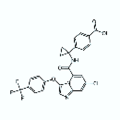 O=C(O)c1ccc(C2(NC(=O)c3cc(Cl)cc4ncc(Oc5ccc(C(F)(F)F)cc5)n34)CC2)cc1